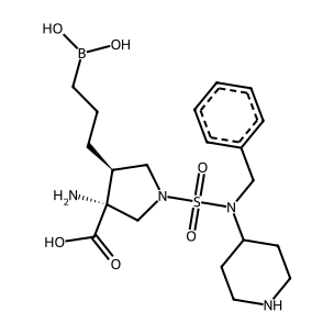 N[C@@]1(C(=O)O)CN(S(=O)(=O)N(Cc2ccccc2)C2CCNCC2)C[C@@H]1CCCB(O)O